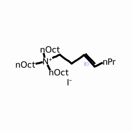 CCC/C=C/CC[N+](CCCCCCCC)(CCCCCCCC)CCCCCCCC.[I-]